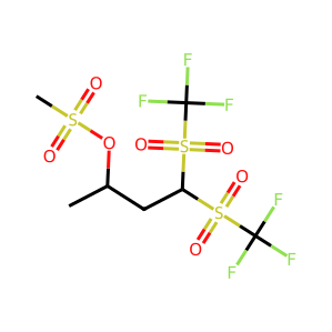 CC(CC(S(=O)(=O)C(F)(F)F)S(=O)(=O)C(F)(F)F)OS(C)(=O)=O